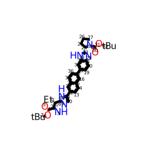 CC[C@@H](C(=N)C(=O)OC(C)(C)C)c1ncc(-c2ccc3cc(-c4ccc5nc([C@@H]6CCCN6C(=O)OC(C)(C)C)[nH]c5c4)ccc3c2)[nH]1